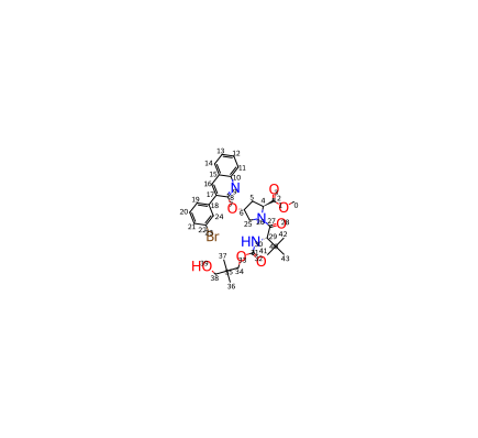 COC(=O)[C@@H]1C[C@@H](Oc2nc3ccccc3cc2-c2cccc(Br)c2)CN1C(=O)[C@@H](NC(=O)OCC(C)(C)CO)C(C)(C)C